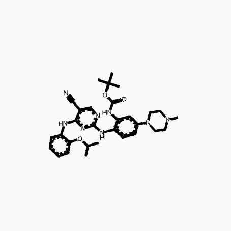 CC(C)Oc1ccccc1Nc1nc(Nc2ccc(N3CCN(C)CC3)cc2NC(=O)OC(C)(C)C)ncc1C#N